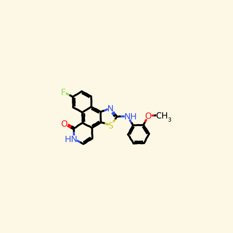 COc1ccccc1Nc1nc2c3ccc(F)cc3c3c(=O)[nH]ccc3c2s1